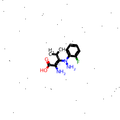 CC(C)/C(=C(/N)C(=O)O)N(N)c1ccccc1F